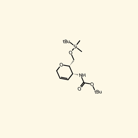 CC(C)(C)OC(=O)N[C@@H]1C=CCO[C@@H]1CO[Si](C)(C)C(C)(C)C